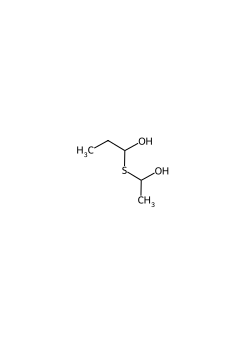 CCC(O)SC(C)O